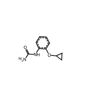 NC(=O)Nc1ccccc1OC1CC1